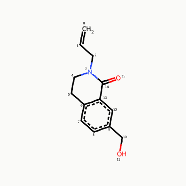 C=CCN1CCc2ccc(CO)cc2C1=O